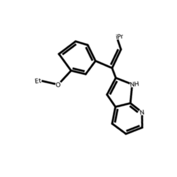 CCOc1cccc(C(=CC(C)C)c2cc3cccnc3[nH]2)c1